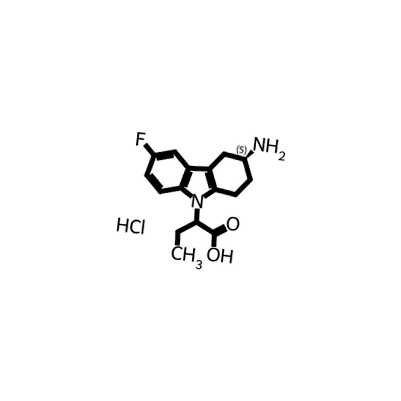 CCC(C(=O)O)n1c2c(c3cc(F)ccc31)C[C@@H](N)CC2.Cl